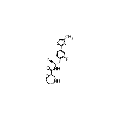 Cc1csc(-c2ccc(C[C@@H](C#N)NC(=O)C3CNCCCO3)c(F)c2)n1